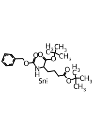 CC(C)(C)OC(=O)CCCC(NC(=O)OCc1ccccc1)C(=O)OC(C)(C)C.[Sn]